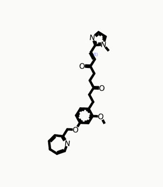 COc1cc(OCC2=NC=CCC=C2)ccc1CCC(=O)CCC(=O)/C=C/c1nccn1C